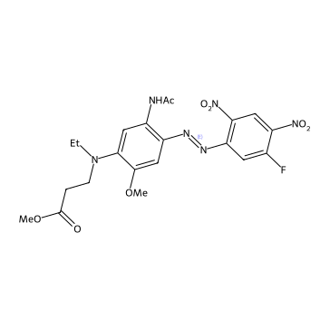 CCN(CCC(=O)OC)c1cc(NC(C)=O)c(/N=N/c2cc(F)c([N+](=O)[O-])cc2[N+](=O)[O-])cc1OC